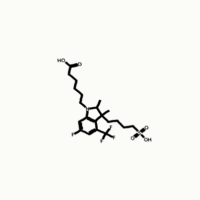 CC1N(CCCCCC(=O)O)c2cc(F)cc(C(F)(F)F)c2C1(C)CCCCS(=O)(=O)O